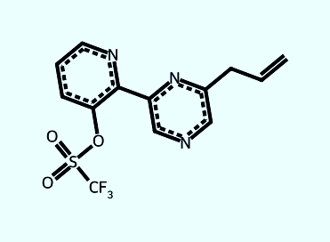 C=CCc1cncc(-c2ncccc2OS(=O)(=O)C(F)(F)F)n1